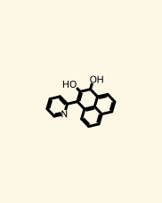 OC1=C(c2ccccn2)c2cccc3cccc(c23)C1O